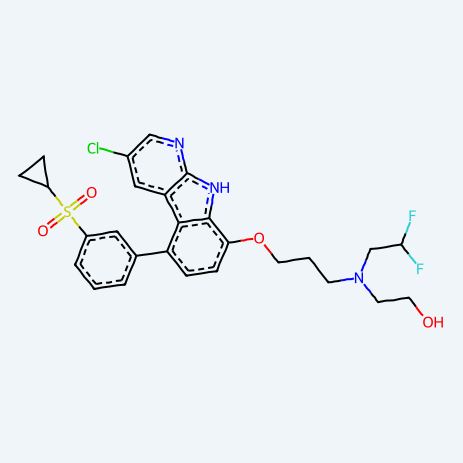 O=S(=O)(c1cccc(-c2ccc(OCCCN(CCO)CC(F)F)c3[nH]c4ncc(Cl)cc4c23)c1)C1CC1